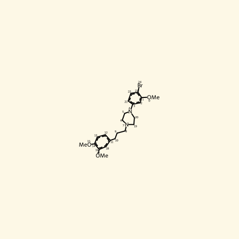 COc1cc(N2CCN(CCCc3ccc(OC)c(OC)c3)CC2)ccc1Br